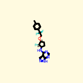 Cc1ccc(C(F)(F)CO[C@H]2CCC(Nc3ncnc4[nH]ncc34)[C@H]2F)cc1